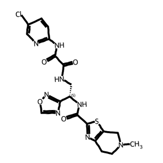 CN1CCc2nc(C(=O)N[C@@H](CNC(=O)C(=O)Nc3ccc(Cl)cn3)c3ncon3)sc2C1